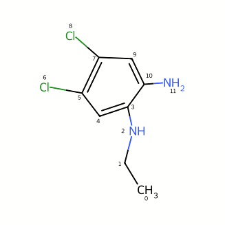 CCNc1cc(Cl)c(Cl)cc1N